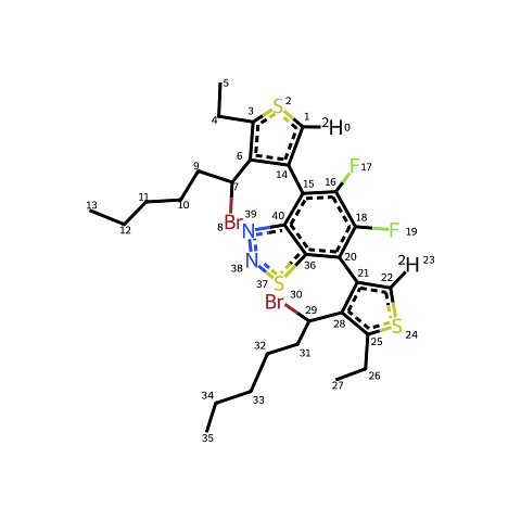 [2H]c1sc(CC)c(C(Br)CCCCC)c1-c1c(F)c(F)c(-c2c([2H])sc(CC)c2C(Br)CCCCC)c2snnc12